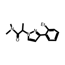 CCc1ccccc1-c1ccn(C(C)C(=O)N(C)C)n1